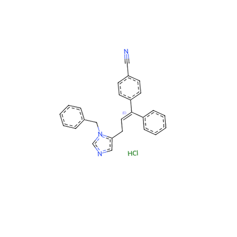 Cl.N#Cc1ccc(/C(=C/Cc2cncn2Cc2ccccc2)c2ccccc2)cc1